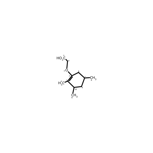 CC1=C(OCC(=O)O)CC(C)CC1C